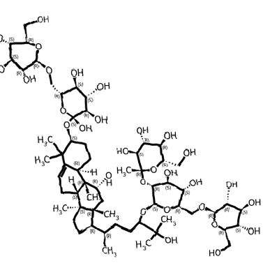 C[C@H](CCC(O[C@@H]1O[C@H](CO[C@@H]2O[C@H](CO)[C@@H](O)[C@H](O)[C@H]2O)[C@@H](O)[C@H](O)[C@H]1O[C@@]1(C)O[C@@H](CO)[C@H](O)[C@@H](O)[C@@H]1O)C(C)(C)O)[C@H]1CC[C@@]2(C)[C@@H]3CC=C4[C@@H](CC[C@H](O[C@]5(O)O[C@H](CO[C@@H]6O[C@H](CO)[C@@H](O)[C@H](O)[C@H]6O)[C@@H](O)[C@H](O)[C@H]5O)C4(C)C)[C@]3(C)[C@H](O)C[C@]12C